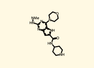 CNNc1nc(N2CCOCC2)c2[nH]c(C(=O)NC3CCNCC3)cc2n1